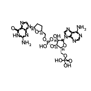 Nc1nc2c(ncn2[C@H]2CC[C@@H](COP(=O)(O)O[C@H]3[C@@H](O)[C@H](n4cnc5c(N)ncnc54)O[C@@H]3COP(=O)(O)O)O2)c(=O)[nH]1